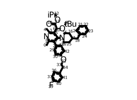 Cc1nc(C)c([C@H](OC(C)(C)C)C(=O)OC(C)C)c(N2CCC(Cc3ccccc3)CC2)c1-c1ccc(OCCc2ccc(F)cc2)cc1